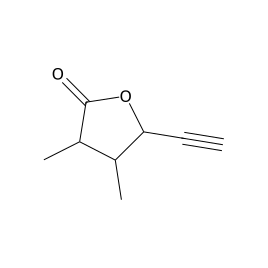 C#CC1OC(=O)C(C)C1C